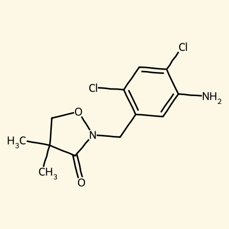 CC1(C)CON(Cc2cc(N)c(Cl)cc2Cl)C1=O